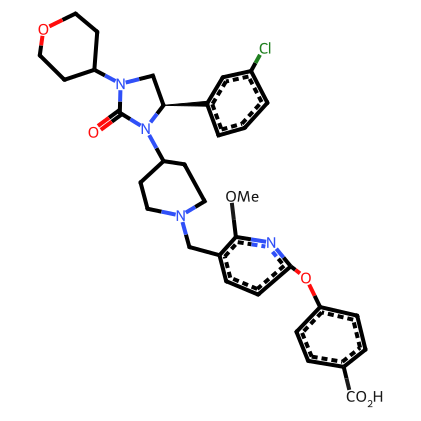 COc1nc(Oc2ccc(C(=O)O)cc2)ccc1CN1CCC(N2C(=O)N(C3CCOCC3)C[C@H]2c2cccc(Cl)c2)CC1